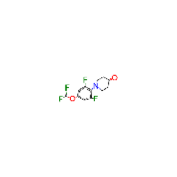 O=C1CCN(c2c(F)cc(OC(F)F)cc2F)CC1